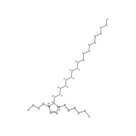 CCCCCCCCCCCCCCCCCCCC1N(CCCC)C=CN1CCCCCC